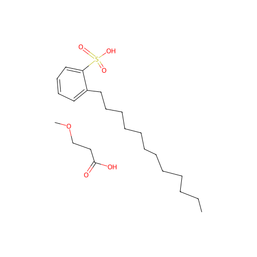 CCCCCCCCCCCCc1ccccc1S(=O)(=O)O.COCCC(=O)O